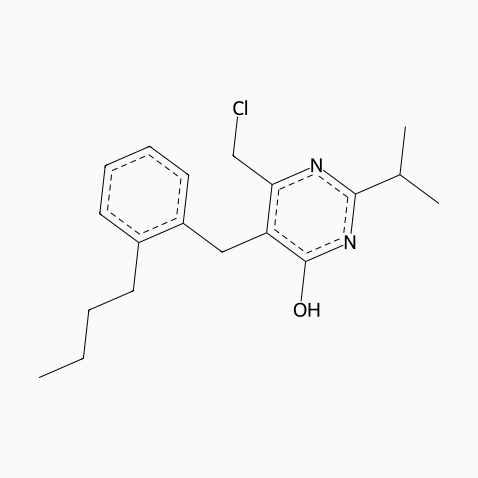 CCCCc1ccccc1Cc1c(O)nc(C(C)C)nc1CCl